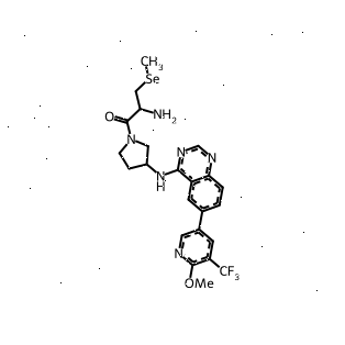 COc1ncc(-c2ccc3ncnc(NC4CCN(C(=O)C(N)C[Se]C)C4)c3c2)cc1C(F)(F)F